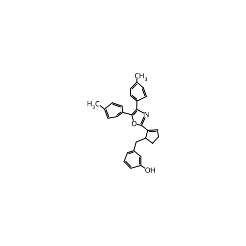 Cc1ccc(-c2nc(C3=CCCC3Cc3cccc(O)c3)oc2-c2ccc(C)cc2)cc1